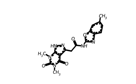 Cc1ccc2nc(NC(=O)Cc3n[nH]c4c3c(=O)n(C)c(=O)n4C)oc2c1